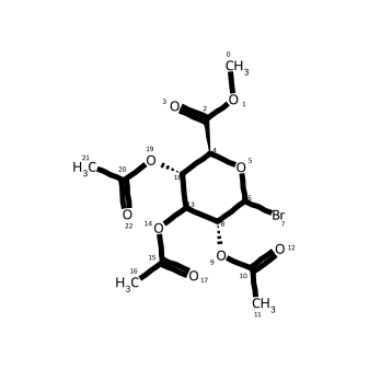 COC(=O)[C@H]1OC(Br)[C@H](OC(C)=O)C(OC(C)=O)[C@@H]1OC(C)=O